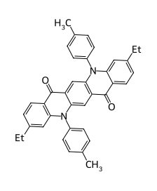 CCc1ccc2c(=O)c3cc4c(cc3n(-c3ccc(C)cc3)c2c1)c(=O)c1ccc(CC)cc1n4-c1ccc(C)cc1